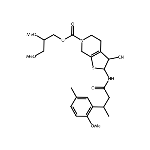 COCC(COC(=O)N1CCC2=C(C1)SC(NC(=O)CC(C)c1cc(C)ccc1OC)C2C#N)OC